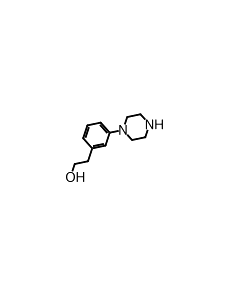 OCCc1cccc(N2CCNCC2)c1